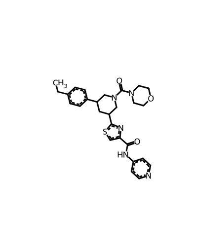 CCc1ccc(C2CC(c3nc(C(=O)Nc4ccncc4)cs3)CN(C(=O)N3CCOCC3)C2)cc1